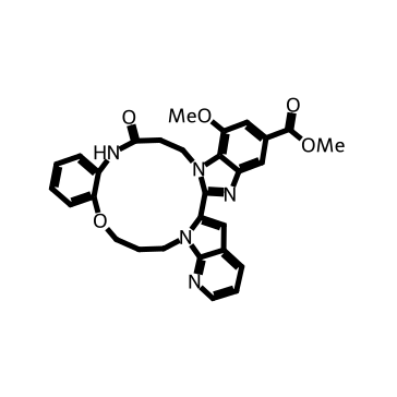 COC(=O)c1cc(OC)c2c(c1)nc1n2CCC(=O)Nc2ccccc2OCCCn2c-1cc1cccnc12